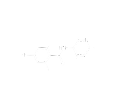 Cc1cc(F)ccc1C(=O)Nc1cccnc1